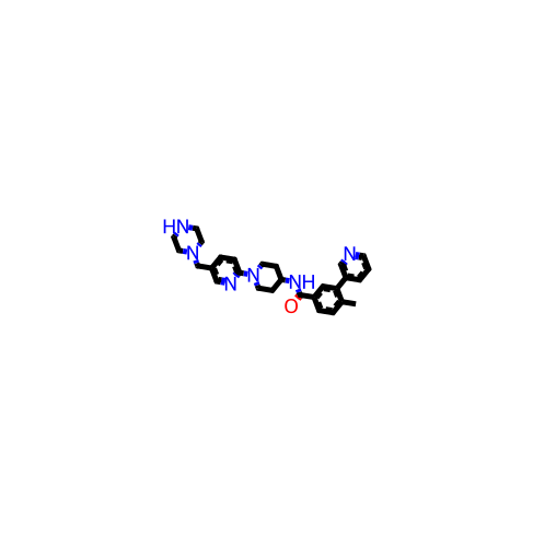 Cc1ccc(C(=O)NC2CCN(c3ccc(CN4CCNCC4)cn3)CC2)cc1-c1cccnc1